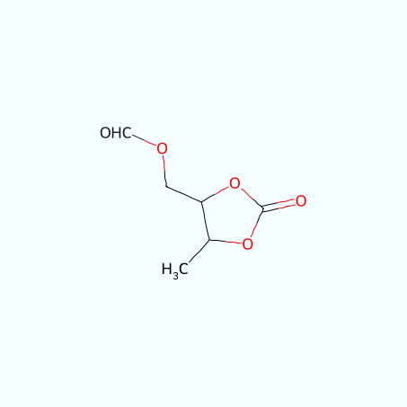 CC1OC(=O)OC1COC=O